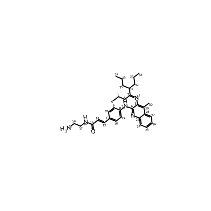 CCC/C(=N\c1c(Nc2ccc(/C=C/C(=O)NCCN)cc2)nc2ccccc2c1C)C(CCC)CCC